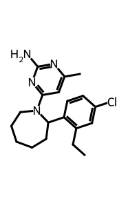 CCc1cc(Cl)ccc1C1CCCCCN1c1cc(C)nc(N)n1